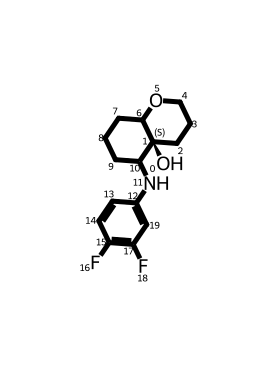 O[C@]12CCCOC1CCCC2Nc1ccc(F)c(F)c1